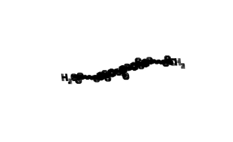 C=CC(=O)OCCCCCCOc1ccc(OC(=O)C2CCC(COc3ccc(OCC4CCC(C(=O)Oc5ccc(OCCCCCCOC(=O)C=C)cc5)CC4)c(C=O)c3)CC2)cc1